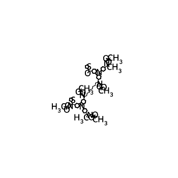 CC(=O)ON=C(C)c1ccc(-n2c3ccc(C(=O)c4cccs4)cc3c3cc(C(CCCCCCCCC(=NOC(C)=O)c4ccc5c(c4)c4cc(C(=NOC(C)=O)c6cccs6)ccc4n5-c4ccc(C(C)=NOC(C)=O)cc4)=NOC(C)=O)ccc32)cc1